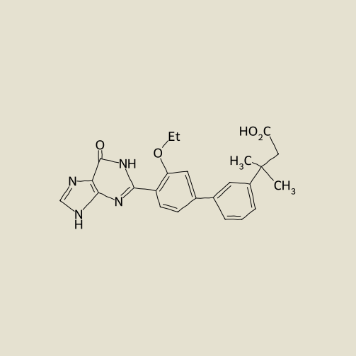 CCOc1cc(-c2cccc(C(C)(C)CC(=O)O)c2)ccc1-c1nc2[nH]cnc2c(=O)[nH]1